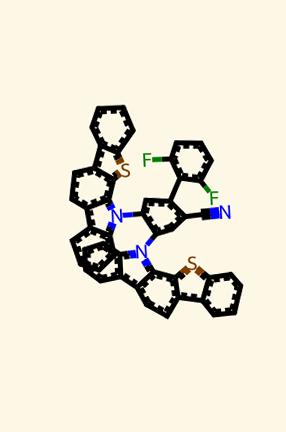 N#Cc1cc(-n2c3ccccc3c3ccc4c5ccccc5sc4c32)c(-n2c3ccccc3c3ccc4c5ccccc5sc4c32)cc1-c1c(F)cccc1F